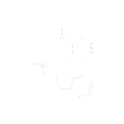 CNC[C@H]1Cc2ccccc2[C@H]1Oc1ccccc1OC